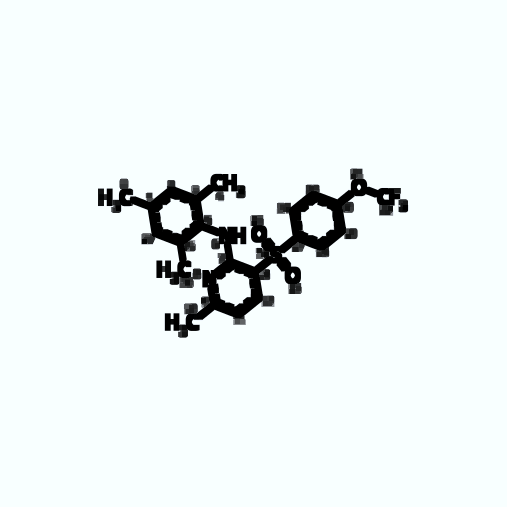 Cc1cc(C)c(Nc2nc(C)ccc2S(=O)(=O)c2ccc(OC(F)(F)F)cc2)c(C)c1